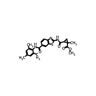 COC(=O)C1(C)CC1C(=O)Nc1nc2ccc(C(=O)Nc3c(C)cc(C)cc3C)cc2s1